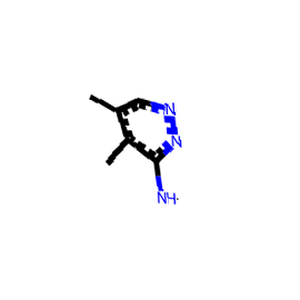 Cc1cnnc([NH])c1C